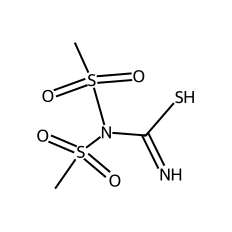 CS(=O)(=O)N(C(=N)S)S(C)(=O)=O